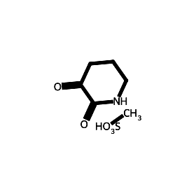 CS(=O)(=O)O.O=C1CCCNC1=O